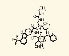 CCNC(=O)NCC(NC(=O)[C@@]1(NC(=O)[C@@H](NC(=O)Cc2ccccc2F)C(C)CC)CCc2[nH]c3c(C(F)(F)F)cccc3c2C1)[C@@H](C)CC